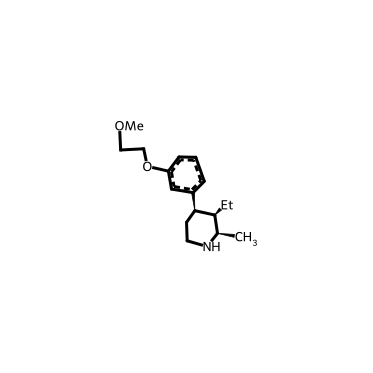 CC[C@H]1[C@@H](C)NCC[C@H]1c1cccc(OCCOC)c1